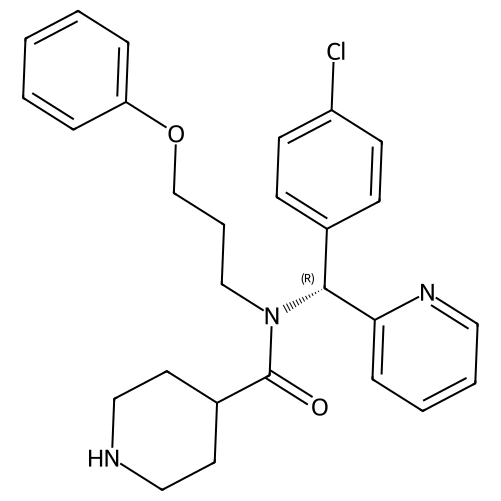 O=C(C1CCNCC1)N(CCCOc1ccccc1)[C@H](c1ccc(Cl)cc1)c1ccccn1